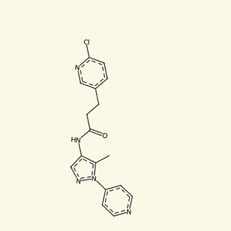 Cc1c(NC(=O)CCc2ccc(Cl)nc2)cnn1-c1ccncc1